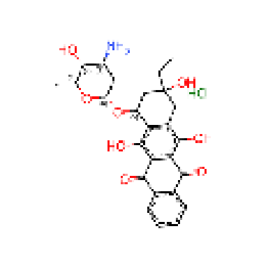 CCC1(O)Cc2c(O)c3c(c(O)c2[C@@H](O[C@H]2C[C@H](N)[C@@H](O)[C@@H](C)O2)C1)C(=O)c1ccccc1C3=O.Cl